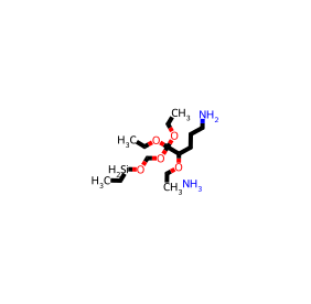 CCOC(CCCN)C(OCC)(OCC)OCO[SiH2]CC.N